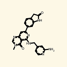 Cn1cnc2cc(-c3ccc4c(c3)NC(=O)C4)nc(NCc3ccnc(N)c3)c2c1=O